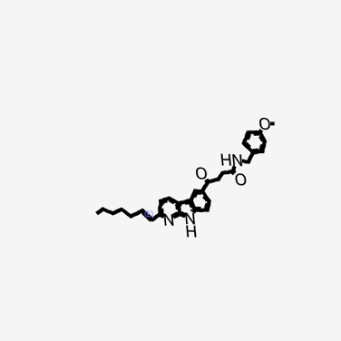 CCCCC/C=C/c1ccc2c(n1)[nH]c1ccc(C(=O)CCC(=O)NCc3ccc(OC)cc3)cc12